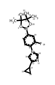 CC1(C)OB(c2ccc(-n3cnc(C4CC4)c3)c(F)c2)OC1(C)C